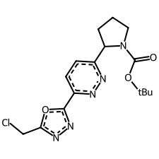 CC(C)(C)OC(=O)N1CCCC1c1ccc(-c2nnc(CCl)o2)nn1